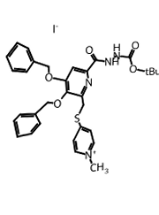 C[n+]1ccc(SCc2nc(C(=O)NNC(=O)OC(C)(C)C)cc(OCc3ccccc3)c2OCc2ccccc2)cc1.[I-]